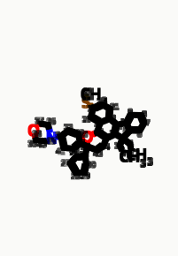 CCC1(CC)c2ccccc2-c2c1c1c(c3cc(SC)ccc23)OC(c2ccccc2)(c2ccc(N3CCOCC3)cc2)C=C1